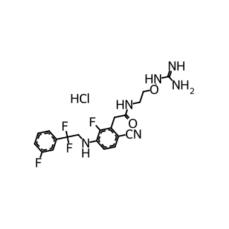 Cl.N#Cc1ccc(NCC(F)(F)c2cccc(F)c2)c(F)c1CC(=O)NCCONC(=N)N